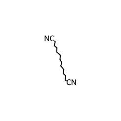 N#CCCCCCCCCCCCCC#N